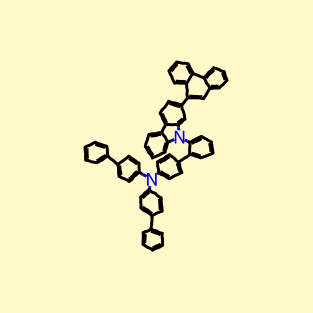 c1ccc(-c2ccc(N(c3ccc(-c4ccccc4)cc3)c3ccc(-c4ccccc4-n4c5ccccc5c5ccc(-c6cc7ccccc7c7ccccc67)cc54)cc3)cc2)cc1